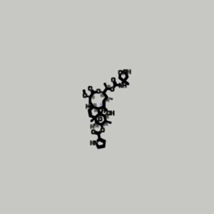 CO[C@H]1C[C@H]2C=C[C@]3(C)[C@H]4[C@H](O)[C@@H](C)[C@@H](OC(=O)c5ccc[nH]5)[C@@H]3O[C@@]24/C(C)=C/[C@@H](C)[C@@H]([C@@H](C)OC(=O)NC(C)(CO)CO)OC1=O